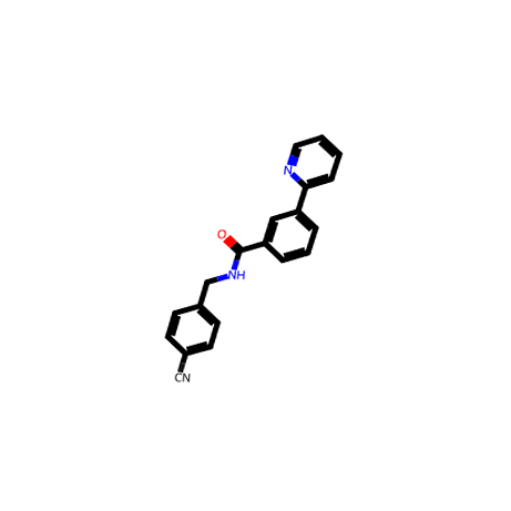 N#Cc1ccc(CNC(=O)c2cccc(-c3cc[c]cn3)c2)cc1